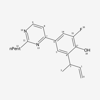 C=CC(C)c1cc(-c2ccnc(CCCCC)n2)cc(F)c1O